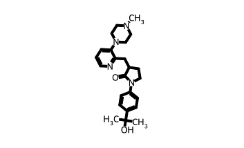 CN1CCN(c2cccnc2CC2CCN(c3ccc(C(C)(C)O)cc3)C2=O)CC1